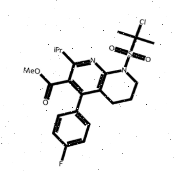 COC(=O)c1c(C(C)C)nc2c(c1-c1ccc(F)cc1)CCCN2S(=O)(=O)C(C)(C)Cl